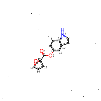 O=C(Oc1ccc2[nH]ccc2c1)c1ccco1